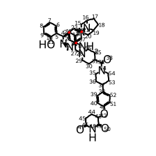 Nc1nnc(-c2ccccc2O)cc1N1CC2CCC(C1)N2c1cccc(CN2CCC(C(=O)N3CCC(c4ccc(OC5CCC(=O)NC5=O)cc4)CC3)CC2)c1